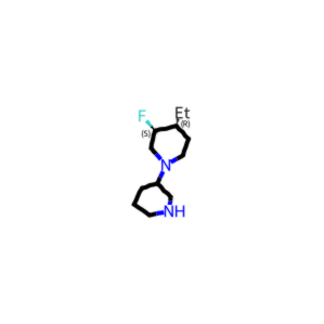 CC[C@@H]1CCN(C2CCCNC2)C[C@H]1F